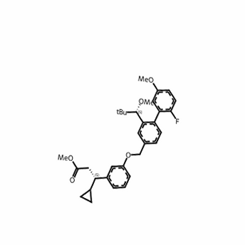 COC(=O)C[C@H](c1cccc(OCc2ccc(-c3cc(OC)ccc3F)c([C@@H](OC)C(C)(C)C)c2)c1)C1CC1